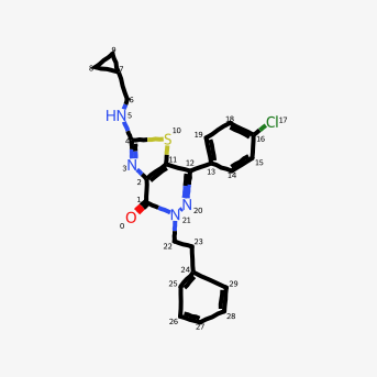 O=c1c2nc(NCC3CC3)sc2c(-c2ccc(Cl)cc2)nn1CCc1ccccc1